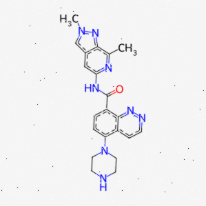 Cc1nc(NC(=O)c2ccc(N3CCNCC3)c3ccnnc23)cc2cn(C)nc12